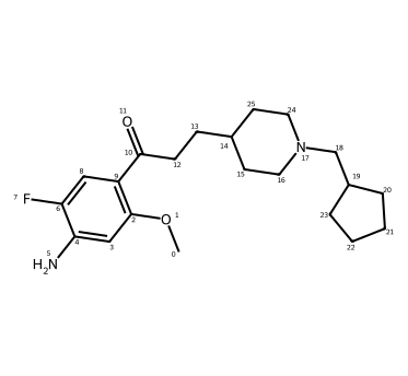 COc1cc(N)c(F)cc1C(=O)CCC1CCN(CC2CCCC2)CC1